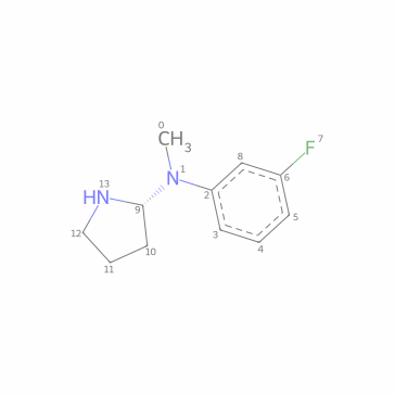 CN(c1cccc(F)c1)[C@@H]1CCCN1